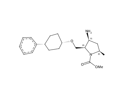 COC(=O)N1[C@H](C)C[C@H](N)[C@@H]1CO[C@H]1CC[C@@H](c2ccccc2)CC1